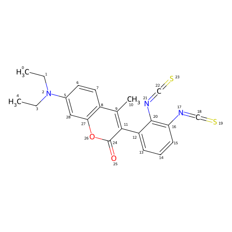 CCN(CC)c1ccc2c(C)c(-c3cccc(N=C=S)c3N=C=S)c(=O)oc2c1